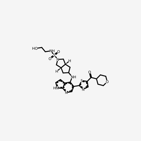 O=C(c1cnc(-c2cnc3[nH]ccc3c2NC2C[C@@H]3CN(S(=O)(=O)NCCO)C[C@@H]3C2)s1)C1CCOCC1